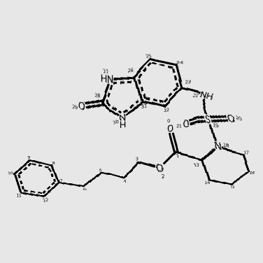 O=C(OCCCCc1ccccc1)C1CCCCN1S(=O)(=O)Nc1ccc2[nH]c(=O)[nH]c2c1